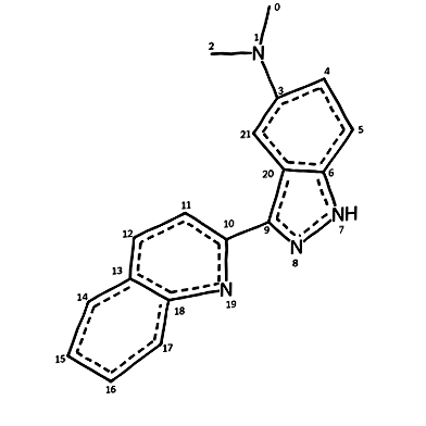 CN(C)c1ccc2[nH]nc(-c3ccc4ccccc4n3)c2c1